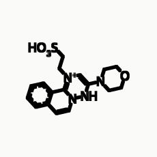 O=S(=O)(O)CC[N+]1=C2c3ccccc3C=CN2NC(N2CCOCC2)=C1